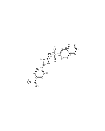 NC(=O)c1cnc(N2CC(NS(=O)(=O)c3ccc4ccccc4c3)C2)nc1